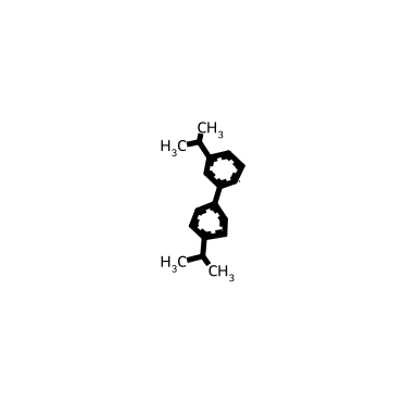 CC(C)c1ccc(-c2[c]ccc(C(C)C)c2)cc1